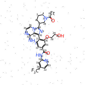 CCC(=O)N1CCCC(c2nc(-c3ccc(C(=O)Nc4cc(C(F)(F)F)ccn4)cc3OCCO)c3c(N)nccn23)C1